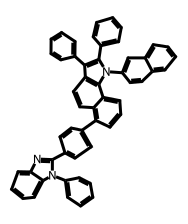 c1ccc(-c2c(-c3ccccc3)n(-c3ccc4ccccc4c3)c3c2ccc2c(-c4ccc(-c5nc6ccccc6n5-c5ccccc5)cc4)cccc23)cc1